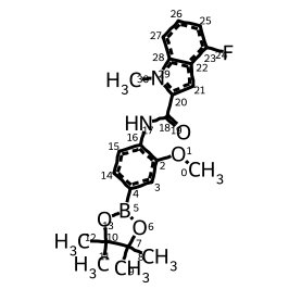 COc1cc(B2OC(C)(C)C(C)(C)O2)ccc1NC(=O)c1cc2c(F)cccc2n1C